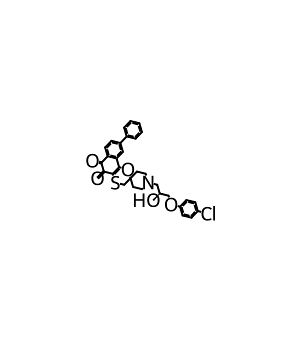 O=C1C(=O)c2ccc(-c3ccccc3)cc2C2=C1SCC1(CCN(C[C@H](O)COc3ccc(Cl)cc3)CC1)O2